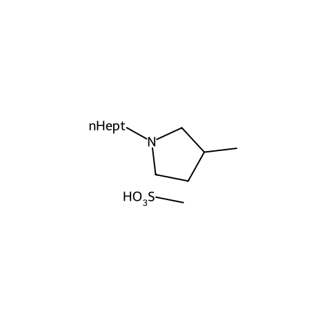 CCCCCCCN1CCC(C)C1.CS(=O)(=O)O